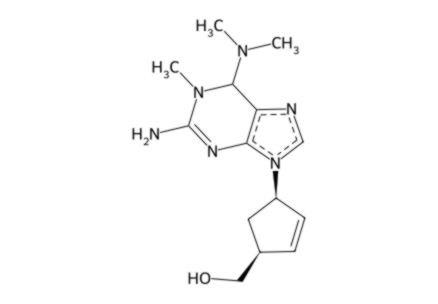 CN(C)C1c2ncn([C@H]3C=C[C@@H](CO)C3)c2N=C(N)N1C